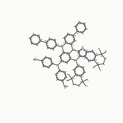 CC(C)(C)c1ccc(N(c2ccc(C(C)(C)C)cc2)c2cc3c4c(c2)N(c2ccc5c(c2)C(C)(C)CCC5(C)C)c2c(oc5cc6c(cc25)C(C)(C)CCC6(C)C)B4c2cc(-c4ccccc4)ccc2N3c2ccc(-c3ccccc3)cc2)cc1